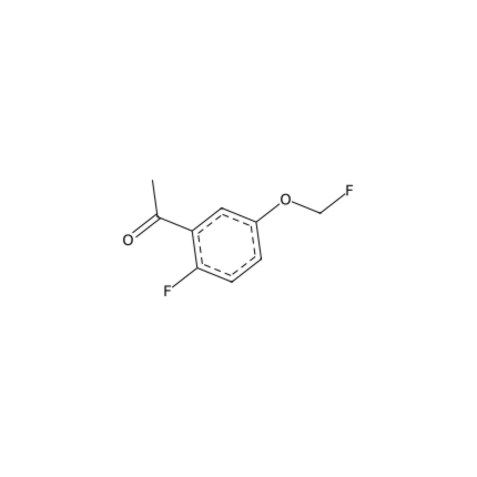 CC(=O)c1cc(OCF)ccc1F